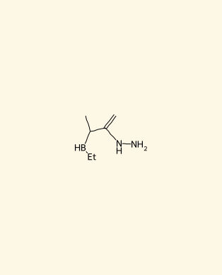 C=C(NN)C(C)BCC